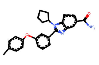 Cc1ccc(Oc2cccc(-c3nc4cc(C(N)=O)ccc4n3C3CCCC3)c2)cc1